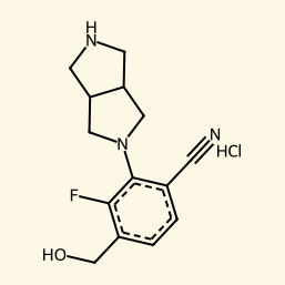 Cl.N#Cc1ccc(CO)c(F)c1N1CC2CNCC2C1